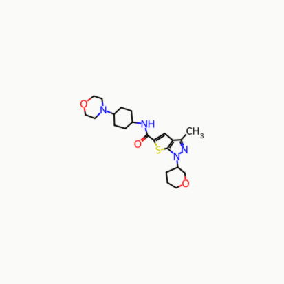 Cc1nn(C2CCCOC2)c2sc(C(=O)NC3CCC(N4CCOCC4)CC3)cc12